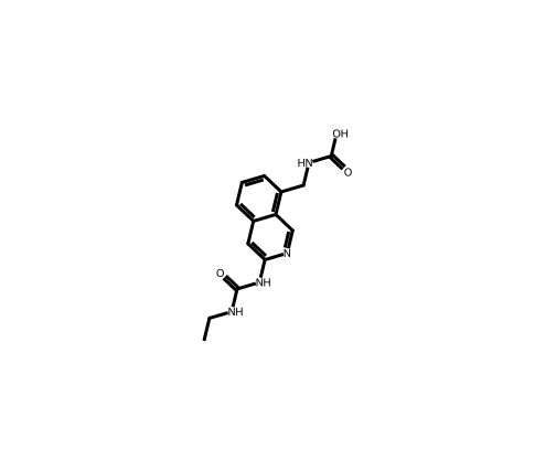 CCNC(=O)Nc1cc2cccc(CNC(=O)O)c2cn1